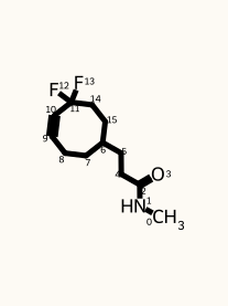 CNC(=O)CCC1CCC#CC(F)(F)CC1